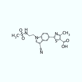 Cc1nc(-c2ccc3c(c2)c(C#N)cn3CCNS(C)(=O)=O)sc1C(=O)O